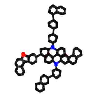 c1cc(-c2ccc3ccccc3c2)cc(N(c2ccc3c(ccc4ccccc43)c2)c2ccccc2-c2ccccc2N(c2ccc(-c3ccc(-c4cccc5ccccc45)cc3)cc2)c2ccc(-c3ccc4c(c3)oc3ccc5ccccc5c34)cc2)c1